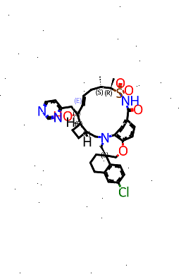 C[C@@H]1[C@@H](C)C/C=C/[C@](O)(Cc2ccncn2)[C@@H]2CC[C@H]2CN2C[C@@]3(CCCc4cc(Cl)ccc43)COc3ccc(cc32)C(=O)NS1(=O)=O